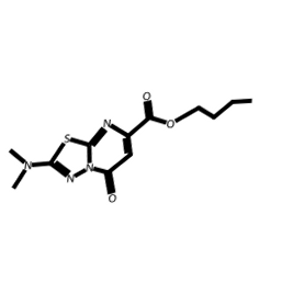 CCCCOC(=O)c1cc(=O)n2nc(N(C)C)sc2n1